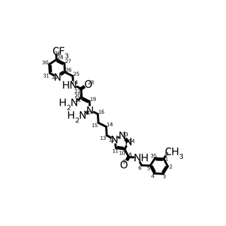 Cc1cccc(CNC(=O)c2cn(CCCCN(N)/C=C(\N)C(=O)NCc3cc(C(F)(F)F)ccn3)nn2)c1